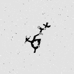 Cc1cc(C(F)(F)F)c(CNC(=O)OC(C)(C)C)cn1